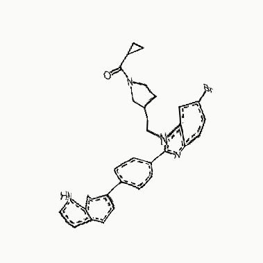 O=C(C1CC1)N1CCC(Cn2c(-c3ccc(-c4ccc5cc[nH]c5c4)cc3)nc3ccc(Br)cc32)C1